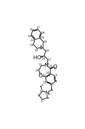 C[C@@H]1CCCN1Cc1ccc2c(c1)OCCN(CC(O)CN1CCc3ccccc3C1)C2=O